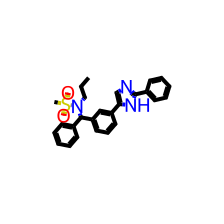 CCCN(C(c1ccccc1)c1cccc(-c2cnc(-c3ccccc3)[nH]2)c1)S(C)(=O)=O